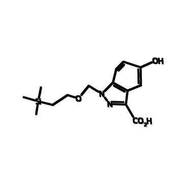 C[Si](C)(C)CCOCn1nc(C(=O)O)c2cc(O)ccc21